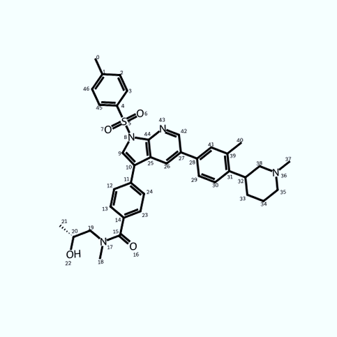 Cc1ccc(S(=O)(=O)n2cc(-c3ccc(C(=O)N(C)C[C@@H](C)O)cc3)c3cc(-c4ccc(C5CCCN(C)C5)c(C)c4)cnc32)cc1